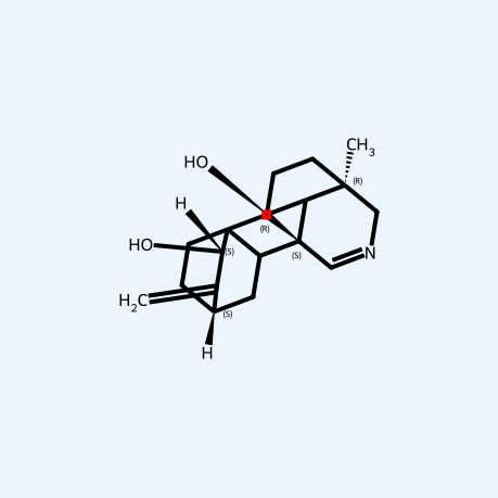 C=C1[C@H]2CCC3(C(C2)[C@]24C=NC[C@](C)(CCC2)C4C[C@H]3O)[C@H]1O